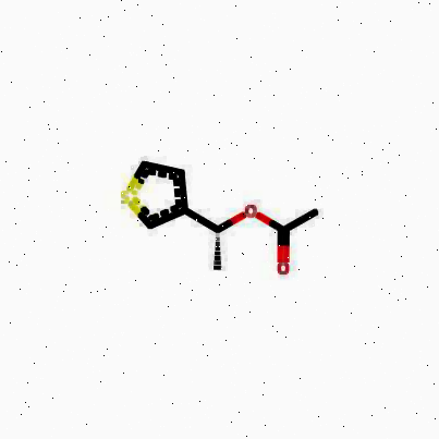 CC(=O)O[C@H](C)c1ccsc1